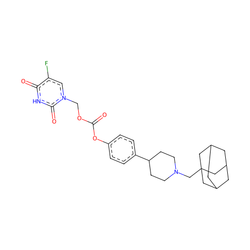 O=C(OCn1cc(F)c(=O)[nH]c1=O)Oc1ccc(C2CCN(CC34CC5CC(CC(C5)C3)C4)CC2)cc1